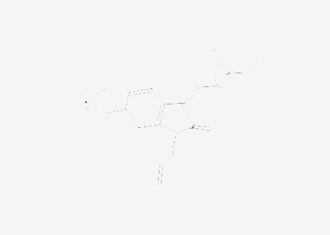 C=CCN1C(=O)C(=NNC(=S)SC)c2ccc(OC(F)(F)F)cc21